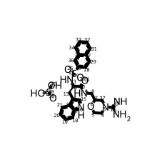 N=C(N)N1CCOC(CNC(=O)[C@@H](Cc2c[nH]c3ccccc23)NS(=O)(=O)c2ccc3ccccc3c2)C1.O=S(O)O